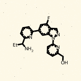 CCC(N)c1cccc(-c2cc(F)c3cnn(-c4cccc(CO)n4)c3c2)n1